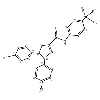 O=C(Nc1ccc(C(F)(F)F)cc1)C1=NN(c2ccc(Cl)nn2)C(c2ccc(F)cc2)C1